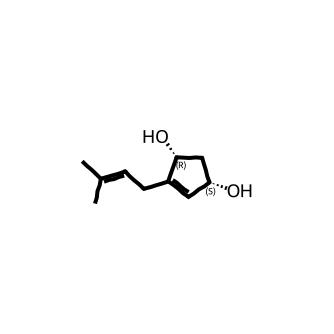 CC(C)=CCC1=C[C@@H](O)C[C@H]1O